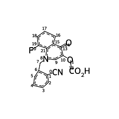 N#Cc1ccccc1Cn1cc(OC(=O)O)c(=O)c2cccc(F)c21